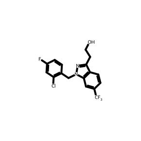 OCCc1nn(Cc2ccc(F)cc2Cl)c2cc(C(F)(F)F)ccc12